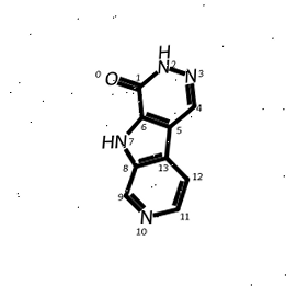 O=c1[nH]ncc2c1[nH]c1cnccc12